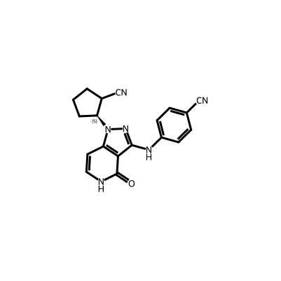 N#Cc1ccc(Nc2nn([C@H]3CCCC3C#N)c3cc[nH]c(=O)c23)cc1